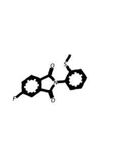 CSc1ccccc1N1C(=O)c2ccc(F)cc2C1=O